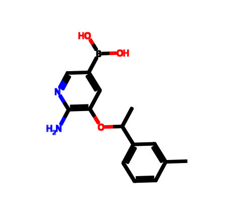 Cc1cccc(C(C)Oc2cc(B(O)O)cnc2N)c1